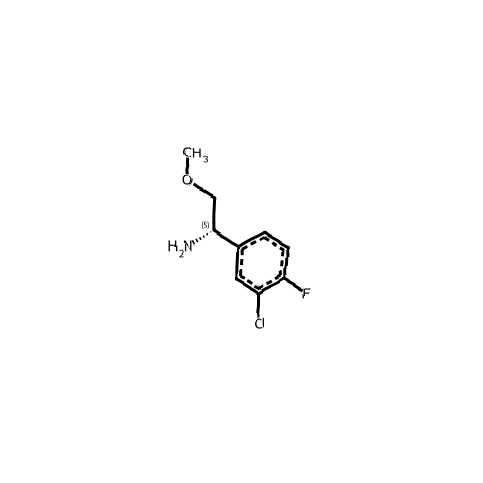 COC[C@@H](N)c1ccc(F)c(Cl)c1